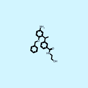 CC(c1cccc(C(=O)NCCO)c1)c1cc(N)ccc1OCc1ccccc1